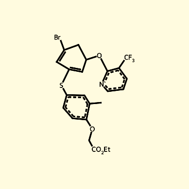 CCOC(=O)COc1ccc(SC2=CC(Oc3ncccc3C(F)(F)F)CC(Br)=C2)cc1C